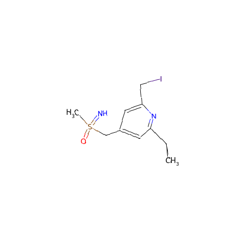 CCc1cc(CS(C)(=N)=O)cc(CI)n1